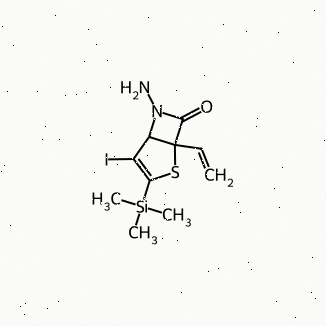 C=CC12SC([Si](C)(C)C)=C(I)C1N(N)C2=O